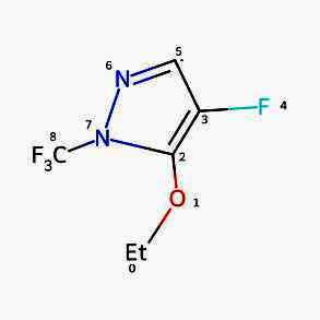 CCOc1c(F)[c]nn1C(F)(F)F